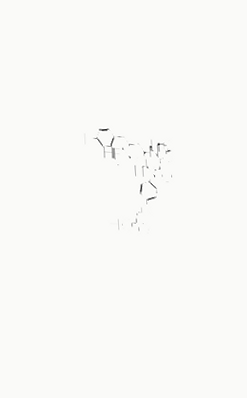 Cl.NC(CC(=O)N1CCSC1C(=O)Nc1ccc(OCC(=O)O)cc1)Cc1cc(F)c(F)cc1F